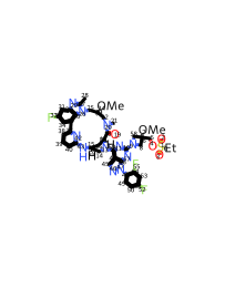 CCS(=O)(=O)OCC1(OC)CN(c2nc(N3C[C@@H]4C[C@H]3C(=O)N(C)C[C@H](OC)Cn3c(C)nc5cc(F)cc(c53)-c3cccc(n3)N4)c3cnn(-c4ccc(F)cc4F)c3n2)C1